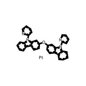 [Pt].c1ccc(-n2c3ccccc3c3ccc(Oc4ccc5c6ccccc6n(-c6ccccn6)c5c4)cc32)nc1